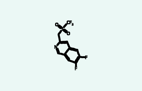 O=S(=O)(Cc1cc2cc(F)c(F)cc2cn1)C(F)(F)F